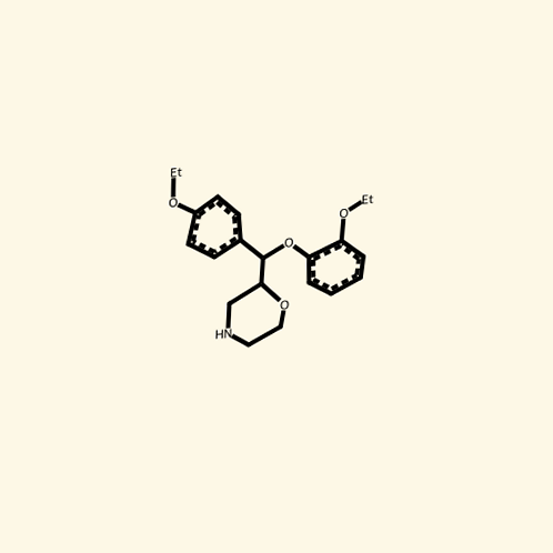 CCOc1ccc(C(Oc2ccccc2OCC)C2CNCCO2)cc1